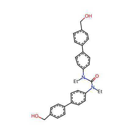 CCN(C(=O)N(CC)c1ccc(-c2ccc(CO)cc2)cc1)c1ccc(-c2ccc(CO)cc2)cc1